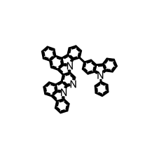 c1ccc(-n2c3ccccc3c3cc(-c4cccc5c6c7ccccc7cc7c8c9c%10cccc%11c%12ccccc%12n(c9ncc8n(c45)c76)c%11%10)ccc32)cc1